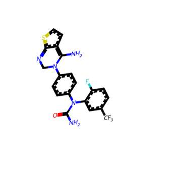 NC(=O)N(c1ccc(N2CN=c3sccc3=C2N)cc1)c1cc(C(F)(F)F)ccc1F